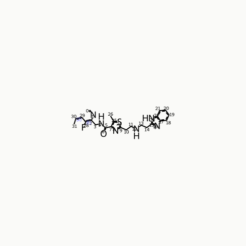 C=N/C(CNC(=O)c1nc(CCNCCc2nc3ccccc3[nH]2)sc1C)=C(F)\C=C/C